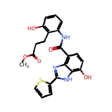 COC(=O)CCc1c(O)cccc1NC(=O)c1ccc(O)c2[nH]c(-c3cccs3)nc12